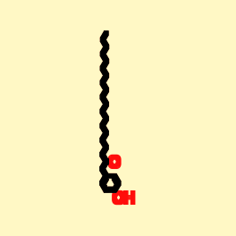 CCCCCCCCCCCCCCCCCCC(=O)Cc1ccc(O)cc1